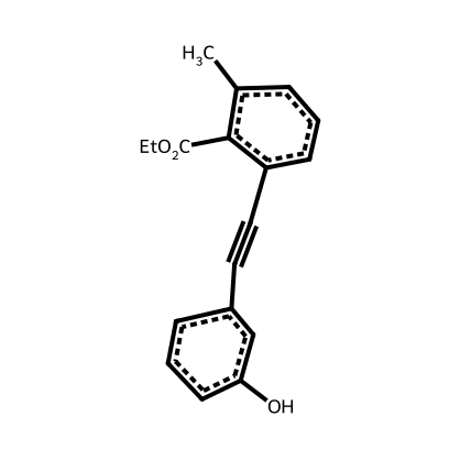 CCOC(=O)c1c(C)cccc1C#Cc1cccc(O)c1